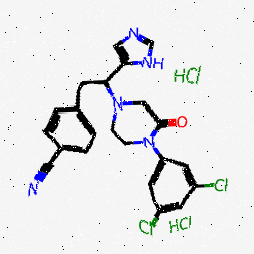 Cl.Cl.N#Cc1ccc(CC(c2cnc[nH]2)N2CCN(c3cc(Cl)cc(Cl)c3)C(=O)C2)cc1